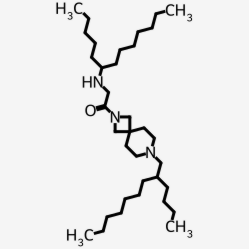 CCCCCCCC(CCCC)CN1CCC2(CC1)CN(C(=O)CNC(CCCCC)CCCCCCC)C2